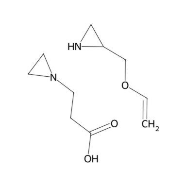 C=COCC1CN1.O=C(O)CCN1CC1